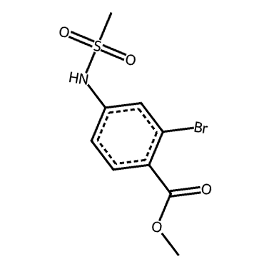 COC(=O)c1ccc(NS(C)(=O)=O)cc1Br